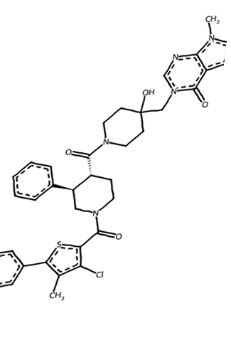 Cc1cc(-c2sc(C(=O)N3CC[C@@H](C(=O)N4CCC(O)(Cn5cnc6c(ccn6C)c5=O)CC4)[C@H](c4ccccc4)C3)c(Cl)c2C)ccn1